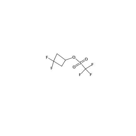 O=S(=O)(OC1CC(F)(F)C1)C(F)(F)F